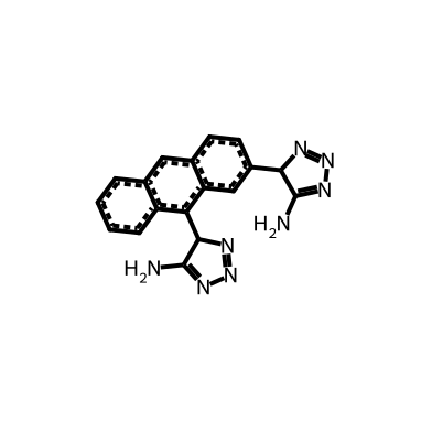 NC1=NN=NC1c1ccc2cc3ccccc3c(C3N=NN=C3N)c2c1